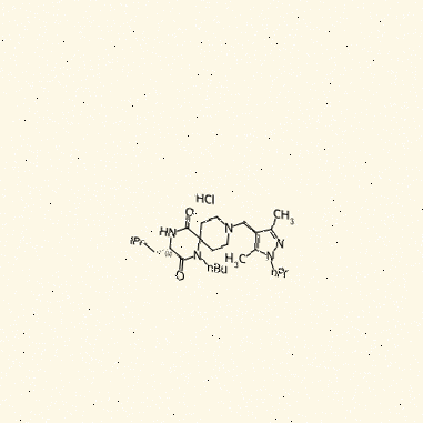 CCCCN1C(=O)[C@H](CC(C)C)NC(=O)C12CCN(Cc1c(C)nn(CCC)c1C)CC2.Cl